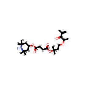 C=C(C)C(=O)C(C)OCCC(C)(C)OC(=O)CCC(=O)OC1CC(C)(C)NC(C)(C)C1